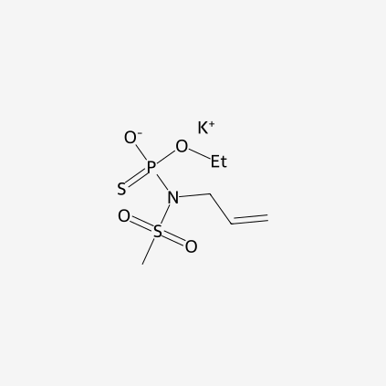 C=CCN(P([O-])(=S)OCC)S(C)(=O)=O.[K+]